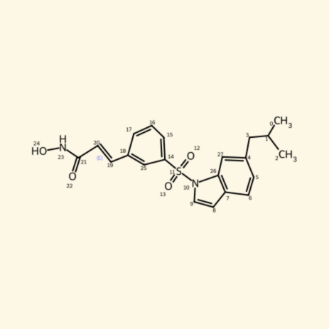 CC(C)Cc1ccc2ccn(S(=O)(=O)c3cccc(/C=C/C(=O)NO)c3)c2c1